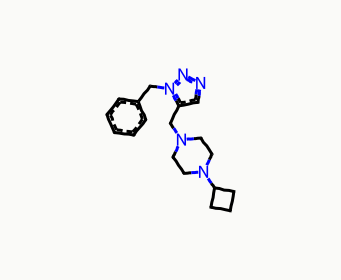 c1ccc(Cn2nncc2CN2CCN(C3CCC3)CC2)cc1